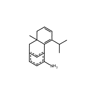 CC(C)C1=C2c3cc(ccc3N)CC2(C)CC=C1